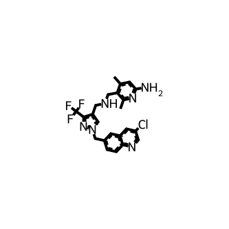 Cc1cc(N)nc(C)c1CNCc1cn(Cc2ccc3ncc(Cl)cc3c2)nc1C(F)(F)F